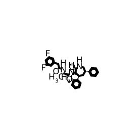 C[C@H](NC(=O)Cc1cc(F)cc(F)c1)C(=O)N[C@]1(C)C(=O)NC[C@H](c2ccccc2)C[C@H]1c1ccccc1